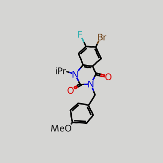 COc1ccc(Cn2c(=O)c3cc(Br)c(F)cc3n(C(C)C)c2=O)cc1